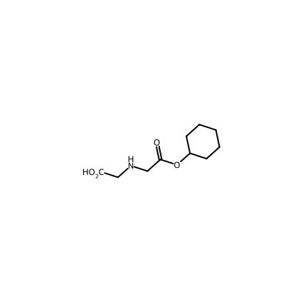 O=C(O)CNCC(=O)OC1CCCCC1